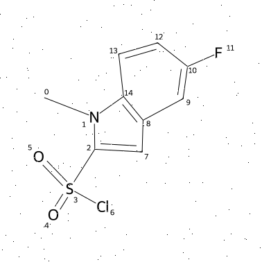 Cn1c(S(=O)(=O)Cl)cc2cc(F)ccc21